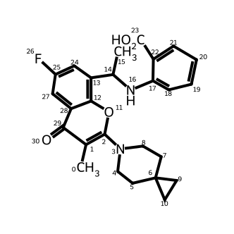 Cc1c(N2CCC3(CC2)CC3)oc2c(C(C)Nc3ccccc3C(=O)O)cc(F)cc2c1=O